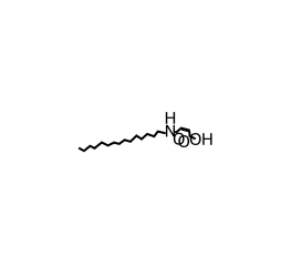 CCCCCCCCCCCCCCCCNC(=O)/C=C\C(=O)O